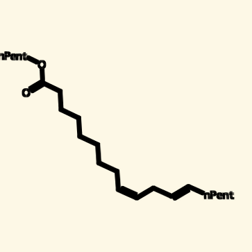 CCCCCC=CC/C=C\CCCCCCCC(=O)OCCCCC